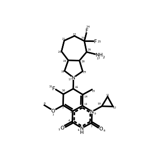 COC1=c2c(=O)[nH]c(=O)n(C3CC3)c2=C(C)C(N2CC3CCCC(F)(F)C(N)C3C2)C1F